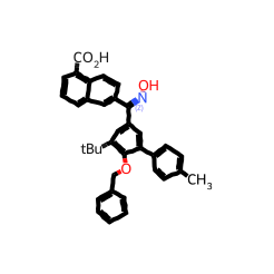 Cc1ccc(-c2cc(/C(=N/O)c3ccc4c(C(=O)O)cccc4c3)cc(C(C)(C)C)c2OCc2ccccc2)cc1